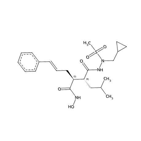 CC(C)C[C@@H](C(=O)NN(CC1CC1)S(C)(=O)=O)[C@H](CC=Cc1ccccc1)C(=O)NO